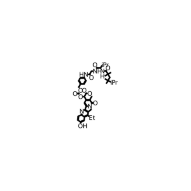 CCc1c2c(nc3ccc(O)cc13)-c1cc3c(c(=O)n1C2)COC(=O)C3OC(=O)OCc1ccc(NC(=O)CNC(=O)C(NC(=O)C(C)(C)CC(C)(C)C(C)C)C(C)C)cc1